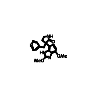 COc1nc2c(OC)ccc(C3(Cc4ccncc4)CCNC3=O)c2[nH]1